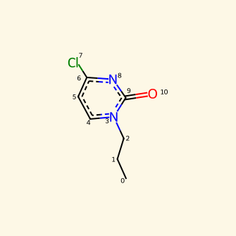 CCCn1ccc(Cl)nc1=O